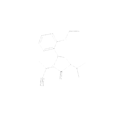 C#CC(I)N1C(=O)C(C(C)C)SC1c1ccccc1OCC